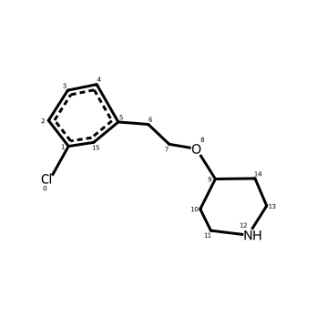 Clc1cccc(CCOC2CCNCC2)c1